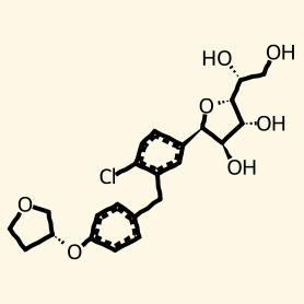 OC[C@@H](O)[C@H]1O[C@H](c2ccc(Cl)c(Cc3ccc(O[C@@H]4CCOC4)cc3)c2)[C@H](O)[C@H]1O